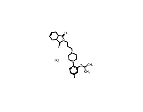 CC(C)Oc1cc(F)ccc1N1CCN(CCCN2C(=O)C3CC=CCC3C2=O)CC1.Cl